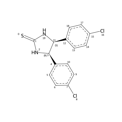 S=C1N[C@H](c2ccc(Cl)cc2)[C@H](c2ccc(Cl)cc2)N1